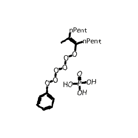 CCCCCC(C)=C(CCCCC)OOOOOOc1ccccc1.O=P(O)(O)O